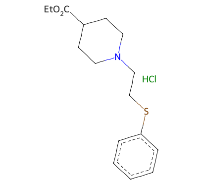 CCOC(=O)C1CCN(CCSc2ccccc2)CC1.Cl